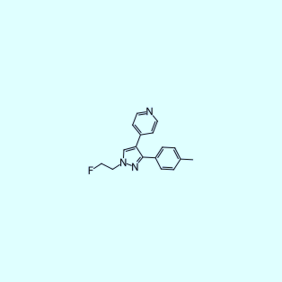 Cc1ccc(-c2nn(CCF)cc2-c2ccncc2)cc1